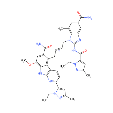 CCn1nc(C)cc1C(=O)Nc1nc2cc(C(N)=O)cc(C)c2n1C/C=C/Cc1c(C(N)=O)cc(OC)c2[nH]c3nc(-c4cc(C)nn4CC)ccc3c12